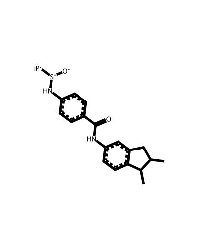 CC1Cc2cc(NC(=O)c3ccc(N[S+]([O-])C(C)C)cc3)ccc2C1C